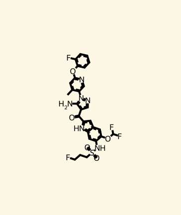 Cc1cc(Oc2ccccc2F)ncc1-n1ncc(C(=O)c2cc3cc(OC(F)F)c(NS(=O)(=O)CCCF)cc3[nH]2)c1N